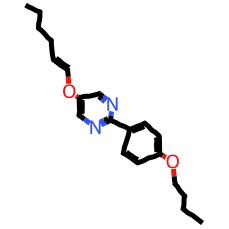 CCCCC=COc1cnc(-c2ccc(OCCCC)cc2)nc1